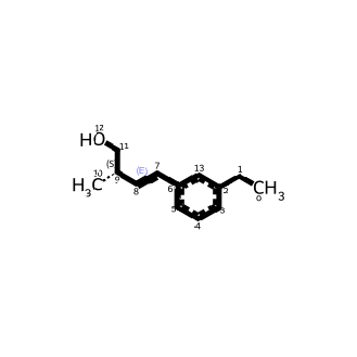 CCc1cccc(/C=C/[C@H](C)CO)c1